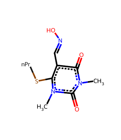 CCCSc1c(C=NO)c(=O)n(C)c(=O)n1C